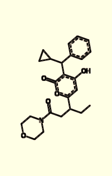 CCC(CC(=O)N1CCOCC1)c1cc(O)c(C(c2ccccc2)C2CC2)c(=O)o1